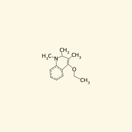 CCOC1=C(C)C(C)N(C)c2ccccc21